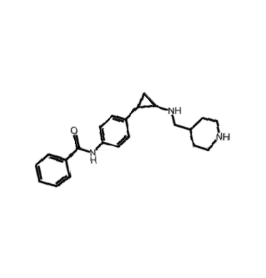 O=C(Nc1ccc(C2CC2NCC2CCNCC2)cc1)c1ccccc1